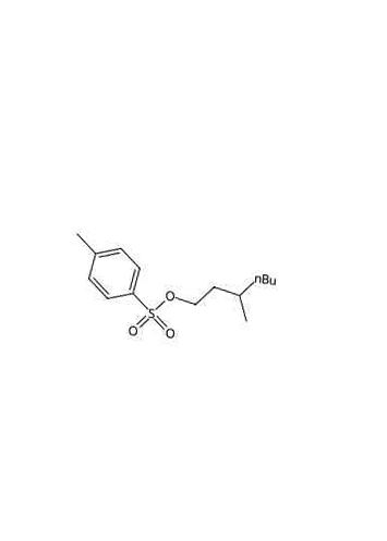 CCCCC(C)CCOS(=O)(=O)c1ccc(C)cc1